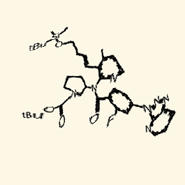 Cc1ccnc(N(C(=O)c2ccc(-n3nnc4cccnc43)cc2F)[C@@H]2CCCN(C(=O)OC(C)(C)C)C2)c1/C=C/CCO[Si](C)(C)C(C)(C)C